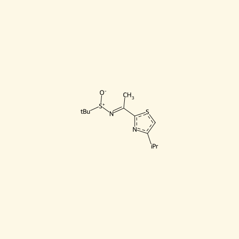 CC(=N[S+]([O-])C(C)(C)C)c1nc(C(C)C)cs1